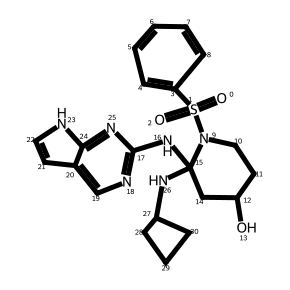 O=S(=O)(c1ccccc1)N1CCC(O)CC1(Nc1ncc2cc[nH]c2n1)NC1CCC1